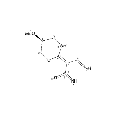 CO[C@H]1CN/C(=C(\C=N)[SH](=N)=O)OC1